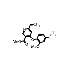 C=Cc1cc(Oc2ccc(OC(F)(F)F)cc2OC)c(C(=O)OC)cn1